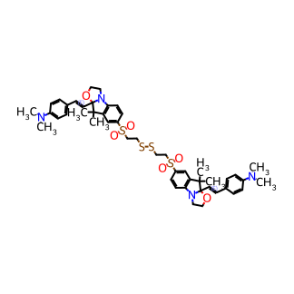 CN(C)c1ccc(/C=C/C23OCCN2c2ccc(S(=O)(=O)CCSSCCS(=O)(=O)c4ccc5c(c4)C(C)(C)C4(/C=C/c6ccc(N(C)C)cc6)OCCN54)cc2C3(C)C)cc1